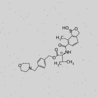 Cc1c(C(=O)N[C@H](C(=O)OCc2ccc(CN3CCOCC3)cc2)C(C)C)ccc2c1B(O)OC2